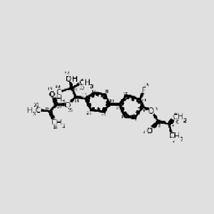 C=C(C)C(=O)Oc1ccc(-c2ccc(C(OC(=O)C(=C)C)C(C)(C)O)cc2)cc1F